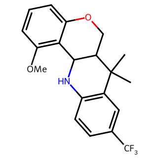 COc1cccc2c1C1Nc3ccc(C(F)(F)F)cc3C(C)(C)C1CO2